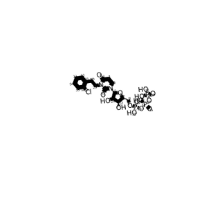 O=c1ccn([C@@H]2O[C@H](COP(=O)(O)OP(=O)(O)OP(=O)(O)O)[C@H](O)C2O)c(=O)n1CCc1ccccc1Cl